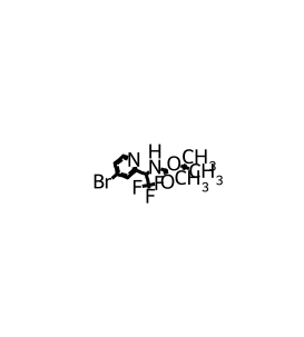 CC(C)(C)OC(=O)NC(c1cc(Br)ccn1)C(F)(F)F